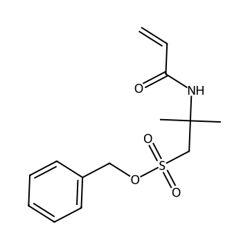 C=CC(=O)NC(C)(C)CS(=O)(=O)OCc1ccccc1